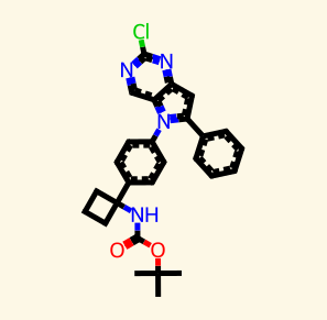 CC(C)(C)OC(=O)NC1(c2ccc(-n3c(-c4ccccc4)cc4nc(Cl)ncc43)cc2)CCC1